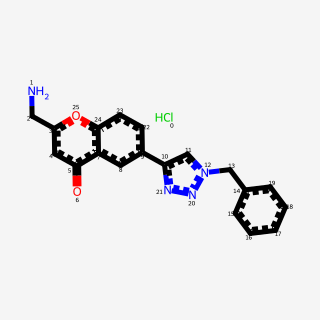 Cl.NCc1cc(=O)c2cc(-c3cn(Cc4ccccc4)nn3)ccc2o1